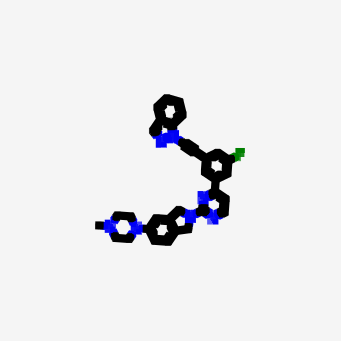 CN1CCN(c2ccc3c(c2)CN(c2nccc(-c4cc(F)cc(C#Cn5ncc6ccccc65)c4)n2)C3)CC1